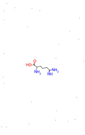 N=C(N)CCCC(N)C(=O)O